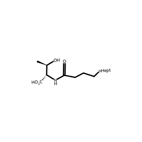 CCCCCCCCCCC(=O)N[C@H](C(=O)O)[C@@H](C)O